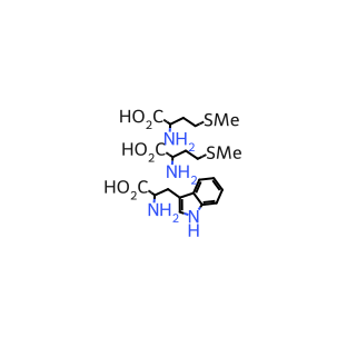 CSCCC(N)C(=O)O.CSCCC(N)C(=O)O.NC(Cc1c[nH]c2ccccc12)C(=O)O